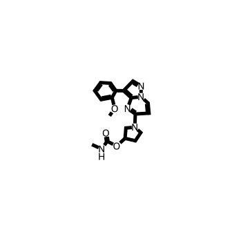 CNC(=O)OC1CCN(c2ccn3ncc(-c4ccccc4OC)c3n2)C1